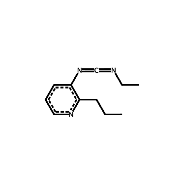 CCCc1ncccc1N=C=NCC